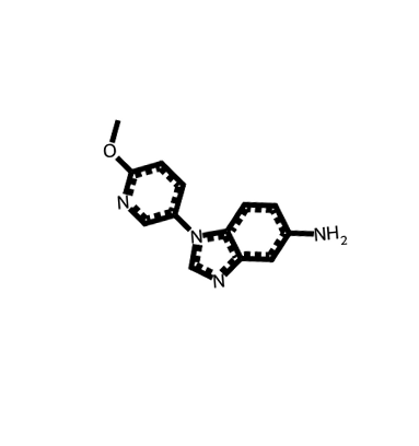 COc1ccc(-n2cnc3cc(N)ccc32)cn1